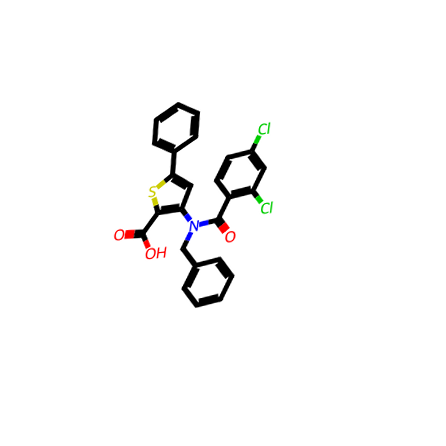 O=C(O)c1sc(-c2ccccc2)cc1N(Cc1ccccc1)C(=O)c1ccc(Cl)cc1Cl